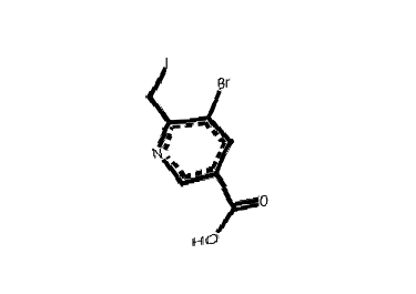 O=C(O)c1cnc(CI)c(Br)c1